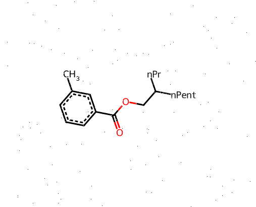 CCCCCC(CCC)COC(=O)c1cccc(C)c1